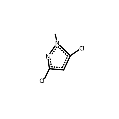 Cn1nc(Cl)cc1Cl